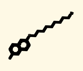 Cc1ccc2cc(OCCCCCCCCCBr)ccc2c1